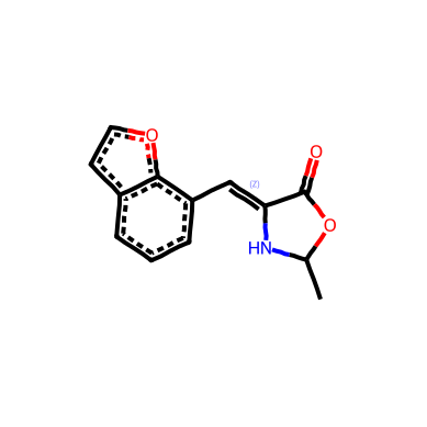 CC1N/C(=C\c2cccc3ccoc23)C(=O)O1